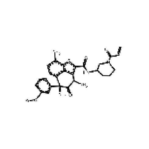 C=CC(=O)N1CCCC(NC(=O)c2sc3c(N)ccc4c3c2C(N)C(=O)C4(N)c2cccc(OC(C)C)c2)C1